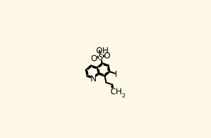 C=CCc1c(I)cc(S(=O)(=O)O)c2cccnc12